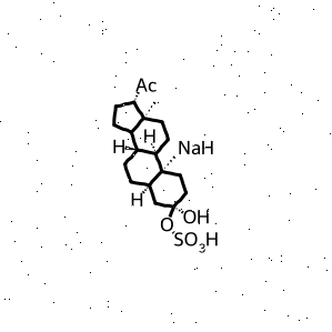 CC(=O)[C@H]1CCC2[C@H]3CC[C@@H]4C[C@](O)(OS(=O)(=O)O)CC[C@]4(C)[C@@H]3CC[C@@]21C.[NaH]